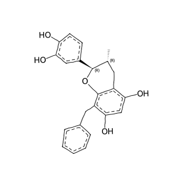 C[C@@H]1Cc2c(O)cc(O)c(Cc3ccccc3)c2O[C@H]1c1ccc(O)c(O)c1